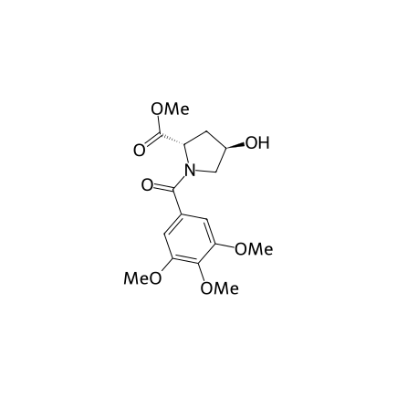 COC(=O)[C@@H]1C[C@@H](O)CN1C(=O)c1cc(OC)c(OC)c(OC)c1